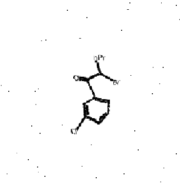 CCCC(Br)C(=O)c1cccc(Cl)c1